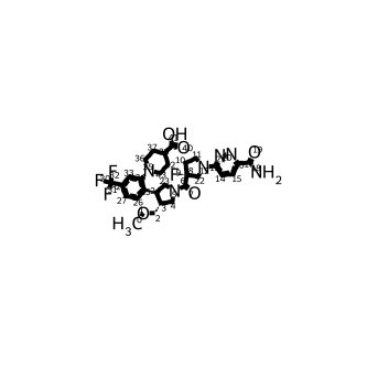 COC[C@H]1CN(C(=O)[C@@]2(F)CCN(c3ccc(C(N)=O)nn3)C2)C[C@@H]1c1ccc(C(F)(F)F)cc1N1CCC(C(=O)O)CC1